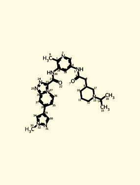 Cc1ncc(NC(=O)CC2CCCN(C(C)C)C2)cc1NC(=O)c1nnc2cc(-c3cnn(C)c3)ccn12